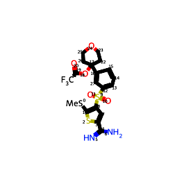 CSc1sc(C(=N)N)cc1S(=O)(=O)c1cccc(C2(OC(=O)C(F)(F)F)CCOCC2)c1